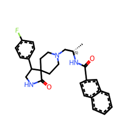 C[C@@H](CN1CCC2(CC1)C(=O)NCC2c1ccc(F)cc1)NC(=O)c1ccc2ccccc2c1